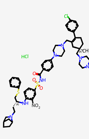 C[C@@]1(CN2CCNCC2)CCC(c2ccc(Cl)cc2)=C(CN2CCN(c3ccc(C(=O)NS(=O)(=O)c4ccc(N[C@H](CCN5CC6CCC5C6)CSc5ccccc5)c([N+](=O)[O-])c4)cc3)CC2)C1.Cl